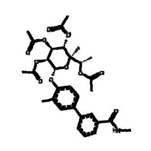 CNC(=O)c1cccc(-c2ccc(O[C@H]3O[C@](C)([C@H](C)OC(C)=O)[C@@H](OC(C)=O)[C@H](OC(C)=O)[C@@H]3OC(C)=O)c(C)c2)c1